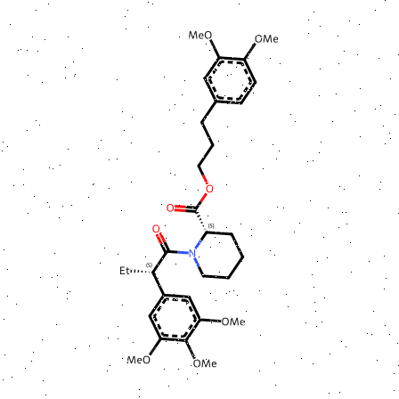 CC[C@H](C(=O)N1CCCC[C@H]1C(=O)OCCCc1ccc(OC)c(OC)c1)c1cc(OC)c(OC)c(OC)c1